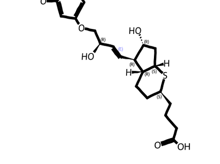 COc1cccc(OC[C@H](O)/C=C/[C@@H]2[C@H]3CC[C@H](CCCC(=O)O)S[C@H]3C[C@H]2O)c1